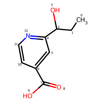 CCC(O)c1cc(C(=O)O)ccn1